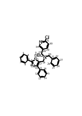 CCCCn1c(-c2ccccc2)nc(-c2ccccc2)c1CN(Cc1ccccc1)Cc1ccc(Cl)nc1